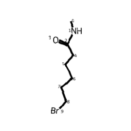 CNC(=O)CCCCCBr